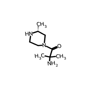 C[C@@H]1CN(C(=O)C(C)(C)N)CCN1